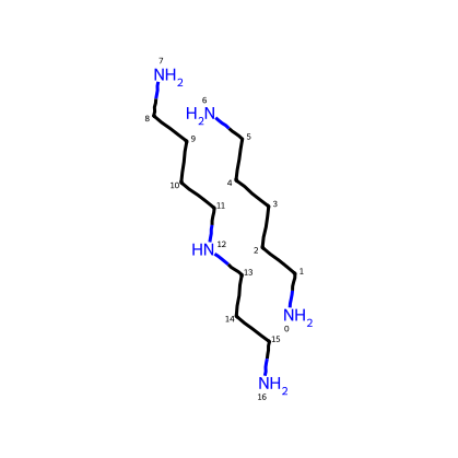 NCCCCCN.NCCCCNCCCN